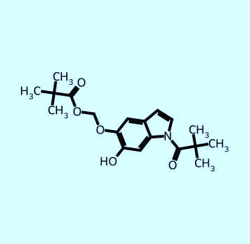 CC(C)(C)C(=O)OCOc1cc2ccn(C(=O)C(C)(C)C)c2cc1O